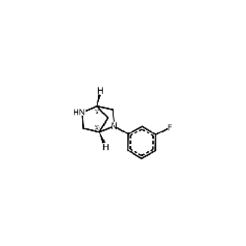 Fc1cccc(N2C[C@@H]3C[C@H]2CN3)c1